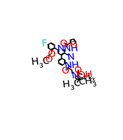 COCOc1cc(F)ccc1-c1cc(-c2cccc(NC(=O)CCN(CC(C)(C)C)C(=O)O)c2)c(C#N)c(NC(=O)c2ccco2)n1